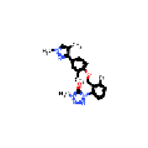 CCc1cccc(-n2nnn(C)c2=O)c1COc1ccc(-c2nn(C)cc2C)cc1C